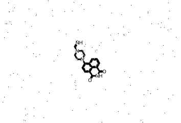 N=CN1CCN(c2ccc3c4c(cccc24)C(=O)NC3=O)CC1